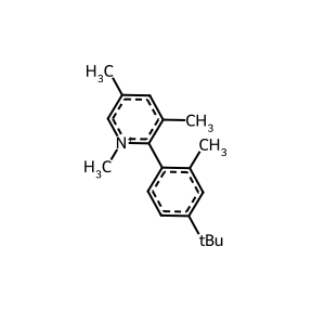 Cc1cc(C)c(-c2ccc(C(C)(C)C)cc2C)[n+](C)c1